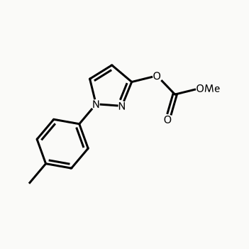 COC(=O)Oc1ccn(-c2ccc(C)cc2)n1